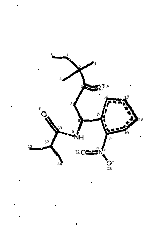 CCC(C)(C)C(=O)CC(NC(=O)C(C)C)c1ccccc1[N+](=O)[O-]